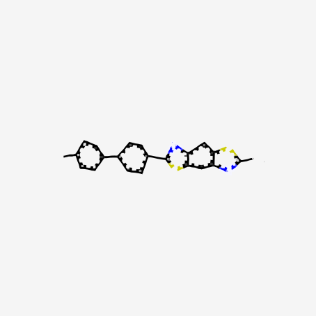 Cc1ccc(-c2ccc(-c3nc4cc5sc(C)nc5cc4s3)cc2)cc1